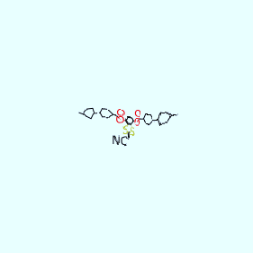 CC1CCC(C2CCC(C(=O)Oc3ccc(OC(=O)C4CCC(C5CCC(C)CC5)CC4)c4c3SC(=CC#N)S4)CC2)CC1